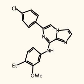 CCc1ccc(Nc2nc(-c3ccc(Cl)cc3)cn3ccnc23)cc1OC